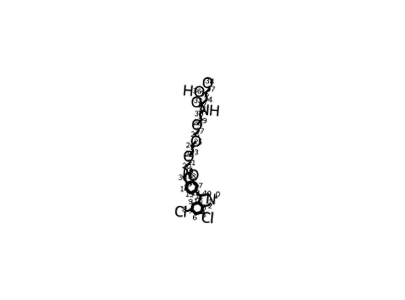 CN1Cc2c(Cl)cc(Cl)cc2C(c2ccc3c(c2)ON(CCOCCOCCOCCNC(=O)CC(O)C=O)C3)C1